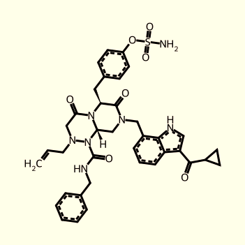 C=CCN1CC(=O)N2[C@@H](Cc3ccc(OS(N)(=O)=O)cc3)C(=O)N(Cc3cccc4c(C(=O)C5CC5)c[nH]c34)C[C@@H]2N1C(=O)NCc1ccccc1